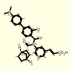 [2H]C(c1ccc(-c2ccc(N(C)C)cc2)cc1Cl)N(C(=O)[C@@H]1C[C@@H]2CC[C@H]1C2)c1cncc(/C=C/C(=O)O)c1